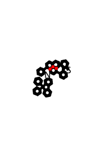 c1ccc(C2(c3ccccc3)c3ccccc3-c3ccc(N(c4cccc(-c5cccc6sc7ccccc7c56)c4)c4ccccc4-c4ccc5ccccc5c4)cc32)cc1